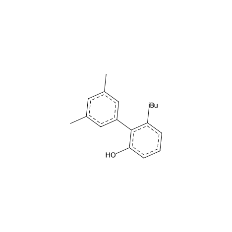 CCC(C)c1cccc(O)c1-c1cc(C)cc(C)c1